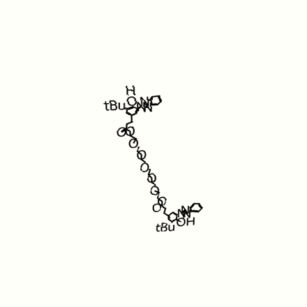 CC(C)(C)c1cc(CCC(=O)OCCOCCOCCOCCOCCOCCOC(=O)CCc2cc(-n3n4c5ccccc5n34)c(O)c(C(C)(C)C)c2)cc(-n2n3c4ccccc4n23)c1O